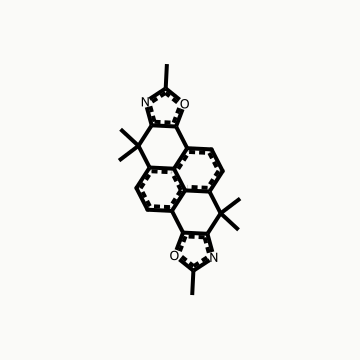 Cc1nc2c(o1)-c1ccc3c4c(ccc(c14)C2(C)C)-c1oc(C)nc1C3(C)C